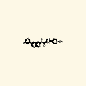 CC(C)N1CCC(c2nc(C(=O)Nc3cc4cc(-c5cncc(F)c5)cnc4cn3)co2)CC1